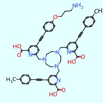 Cc1ccc(C#Cc2cc(CN3CCN(Cc4cc(C#Cc5ccc(C)cc5)cc(C(=O)O)n4)CCN(Cc4cc(C#Cc5ccc(OCCCN)cc5)cc(C(=O)O)n4)CC3)nc(C(=O)O)c2)cc1